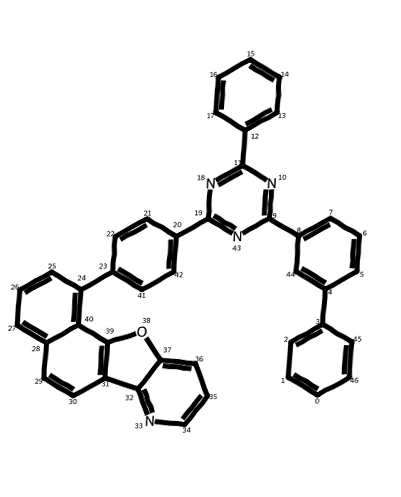 c1ccc(-c2cccc(-c3nc(-c4ccccc4)nc(-c4ccc(-c5cccc6ccc7c8ncccc8oc7c56)cc4)n3)c2)cc1